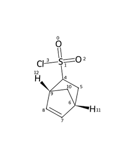 O=S(=O)(Cl)C1C[C@@H]2C=C[C@H]1C2